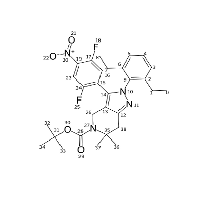 CCc1cccc(CC)c1-n1nc2c(c1-c1cc(F)c([N+](=O)[O-])cc1F)CN(C(=O)OC(C)(C)C)C(C)(C)C2